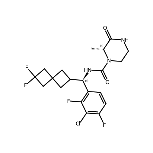 C[C@@H]1C(=O)NCCN1C(=O)N[C@@H](c1ccc(F)c(Cl)c1F)C1CC2(C1)CC(F)(F)C2